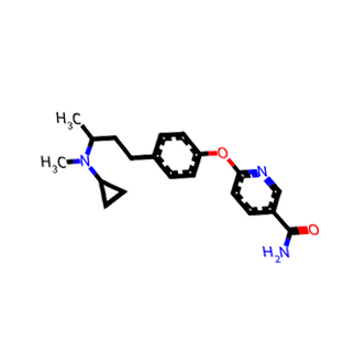 CC(CCc1ccc(Oc2ccc(C(N)=O)cn2)cc1)N(C)C1CC1